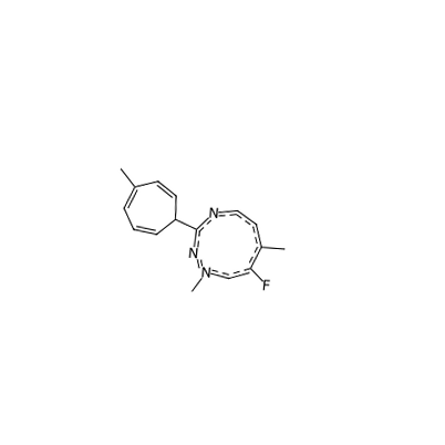 CC1=CC=CC(c2nccc(C)c(F)cn(C)n2)C=C1